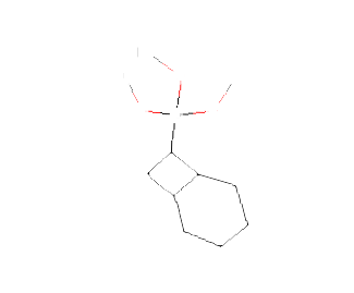 CCO[Si](OCC)(OCC)C1CC2CCCCC21